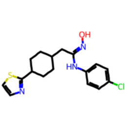 O/N=C(\CC1CCC(c2nccs2)CC1)Nc1ccc(Cl)cc1